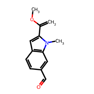 C=C(OC)c1cc2ccc(C=O)cc2n1C